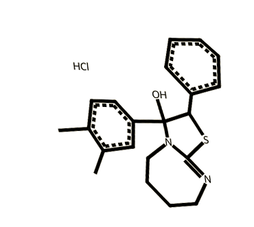 Cc1ccc(C2(O)C(c3ccccc3)SC3=NCCCCN32)cc1C.Cl